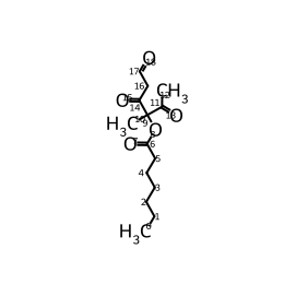 CCCCCCC(=O)OC(C)(C(C)=O)C(=O)CC=O